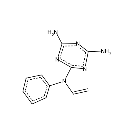 C=CN(c1ccccc1)c1nc(N)nc(N)n1